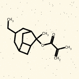 C=C(C)C(=O)OC1(C)C2CC(CC)CC3CC1C3C2